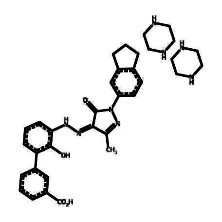 C1CNCCN1.C1CNCCN1.CC1=NN(c2ccc3c(c2)CCC3)C(=O)C1=NNc1cccc(-c2cccc(C(=O)O)c2)c1O